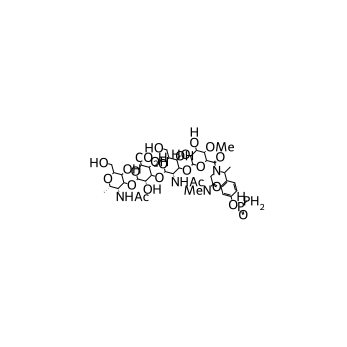 CNC(=O)CN(C(=O)C1O[C@@H](OC2[C@H](O)C(CO)O[C@@H](OC3[C@H](O)C(C(=O)O)O[C@@H](OC4[C@H](O)C(CO)O[C@@H](C)[C@H]4NC(C)=O)[C@H]3O)[C@H]2NC(C)=O)[C@@H](O)C(O)[C@@H]1OC)C(C)c1ccc(O[PH](=O)P)cc1